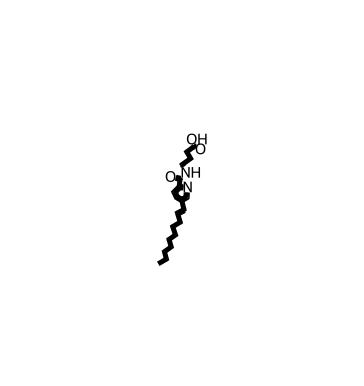 CCCCCCCCC=Cc1ccc(C(=O)NCCCC(=O)O)nc1